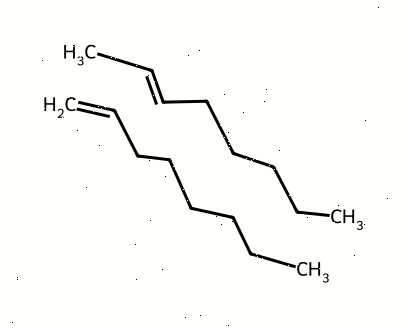 C=CCCCCCC.CC=CCCCCC